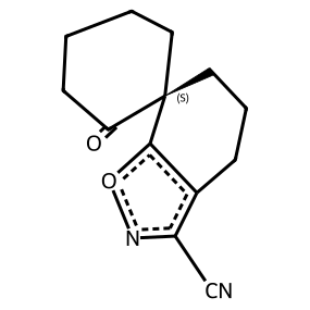 N#Cc1noc2c1CCC[C@@]21CCCCC1=O